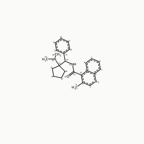 Cc1cnc2ccccc2c1C(=O)NC(c1ccccc1)C1(N(C)C)CCCC1